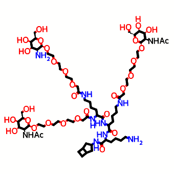 CC(=O)N[C@H]1[C@H](OCCOCCOCCOCC(=O)NCCCCC(NC(=O)C(CCCCNC(=O)COCCOCCOCCO[C@@H]2O[C@H](CO)[C@H](O)[C@H](O)[C@H]2N)NC(=O)COCCOCCOCCO[C@@H]2O[C@H](CO)[C@H](O)[C@H](O)[C@H]2NC(C)=O)C(=O)NC(CCCCN)C(=O)NC2CC3CCC3C2)O[C@H](CO)[C@H](O)[C@@H]1O